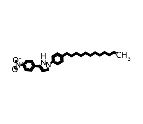 CCCCCCCCCCCCc1ccc(N2CC=C(c3ccc([N+](=O)[O-])cc3)N2)cc1